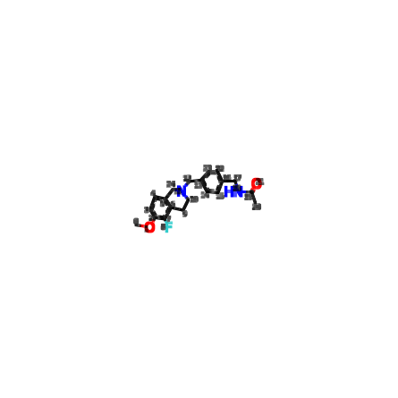 COc1ccc2c(c1F)CCN(Cc1ccc(CNC(C)=O)cc1)C2